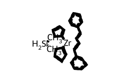 C(C=Cc1ccccc1)=Cc1ccccc1.C1=CC[C]([Zr][C]2=CC=CC2)=C1.C[SiH2]C